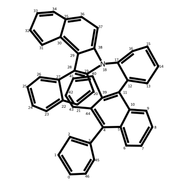 c1ccc(-c2c3ccccc3c(-c3ccccc3-n3c4ccc5ccccc5c4c4c5ccccc5ccc43)c3ccccc23)cc1